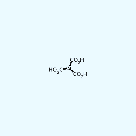 O=C(O)[Si](C(=O)O)C(=O)O